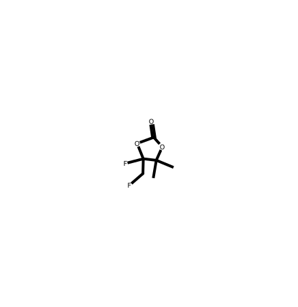 CC1(C)OC(=O)OC1(F)CF